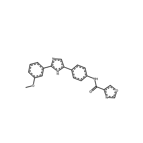 COc1cccc(-c2ncc(-c3ccc(NC(=O)c4cocn4)cc3)[nH]2)c1